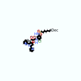 CCCCCCCCCCCCCCCCS(=O)(=O)Nc1ccc(Cl)c(NC(=O)C(Oc2cc(-c3ccccn3)nc(-c3ccccn3)c2)C(=O)C(C)(C)C)c1